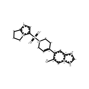 O=S(=O)(c1cnc2n1CCC2)N1CC=C(c2cc3ncnn3cc2Cl)CC1